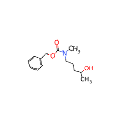 CC(O)CCCN(C)C(=O)OCc1ccccc1